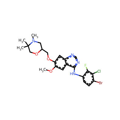 COc1cc2c(Nc3ccc(Br)c(Cl)c3F)ncnc2cc1OCC1CN(C)C(C)(C)CO1